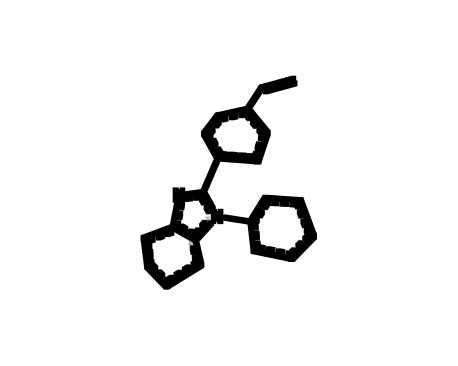 C=Cc1ccc(-c2nc3ccccc3n2-c2ccccc2)cc1